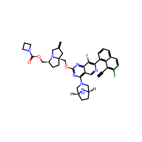 C#Cc1c(F)ccc2cccc(-c3ncc4c(N5C[C@H]6CC[C@@H](C5)N6)nc(OC[C@@]56CC[C@@H](COC(=O)N7CCC7)N5CC(=C)C6)nc4c3F)c12